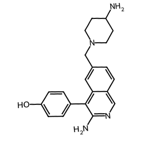 Nc1ncc2ccc(CN3CCC(N)CC3)cc2c1-c1ccc(O)cc1